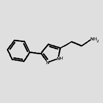 NCCc1cc(-c2ccccc2)n[nH]1